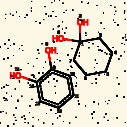 OC1(O)CCCCC1.Oc1ccccc1O